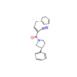 C[C@@H](/C=C(\C#N)C(=O)N1CC[C@@H](c2ccccc2)C1)c1ccccc1